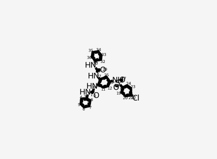 O=C(Nc1ccccc1)Nc1ccc(NS(=O)(=O)c2ccc(Cl)cc2)cc1NC(=O)Nc1ccccc1